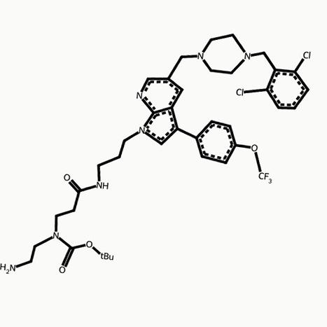 CC(C)(C)OC(=O)N(CCN)CCC(=O)NCCCn1cc(-c2ccc(OC(F)(F)F)cc2)c2cc(CN3CCN(Cc4c(Cl)cccc4Cl)CC3)cnc21